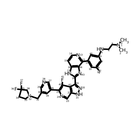 CN(C)CCNc1cc(F)cc(-c2nccc3[nH]c(-c4n[nH]c5cnc(-c6cncc(CN7CCC(F)(F)C7)c6)c(F)c45)nc23)c1